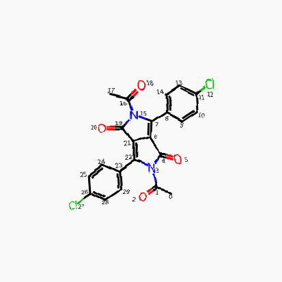 CC(=O)N1C(=O)C2=C(c3ccc(Cl)cc3)N(C(C)=O)C(=O)C2=C1c1ccc(Cl)cc1